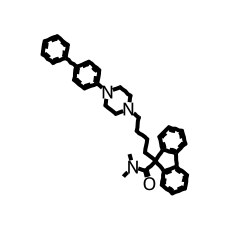 CN(C)C(=O)C1(CCCCN2CCN(c3ccc(-c4ccccc4)cc3)CC2)c2ccccc2-c2ccccc21